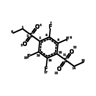 CCS(=O)(=O)c1c(F)c(F)c(S(=O)(=O)CC)c(F)c1F